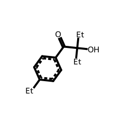 CCc1ccc(C(=O)C(O)(CC)CC)cc1